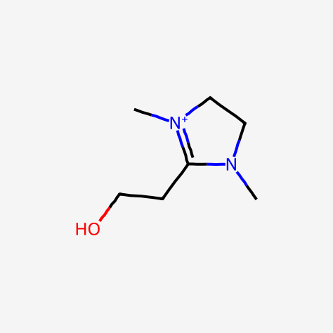 CN1CC[N+](C)=C1CCO